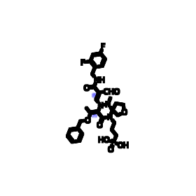 C/C(OCc1ccccc1)=C1/C(=O)N(CCCP(=O)(O)O)C2(CCOC2)N(C)N1/C=C(\C=O)C(=O)NCc1ccc(F)cc1F